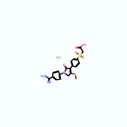 COC1=C(c2ccc(S(=O)(=O)CC(=O)O)cc2)C(=O)N(c2ccc(C(=N)N)cc2)C1.Cl